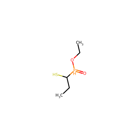 CCO[PH](=O)C(S)CC